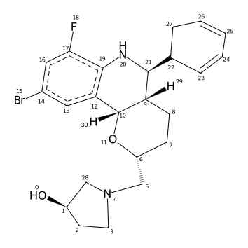 O[C@@H]1CCN(C[C@H]2CC[C@@H]3[C@H](O2)c2cc(Br)cc(F)c2N[C@H]3C2C=CC=CC2)C1